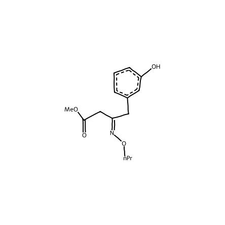 CCCO/N=C(/CC(=O)OC)Cc1cccc(O)c1